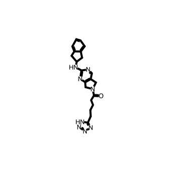 O=C(CCCCc1nnn[nH]1)N1Cc2cnc(NC3Cc4ccccc4C3)nc2C1